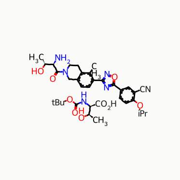 C[C@@H](O)[C@@H](NC(=O)OC(C)(C)C)C(=O)O.Cc1c(-c2noc(-c3ccc(OC(C)C)c(C#N)c3)n2)ccc2c1CCN(C(=O)[C@H](N)[C@@H](C)O)C2